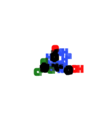 C[C@]1(C(N)=O)CC[C@@H](n2c(Nc3c(Cl)cc(Cl)cc3Cl)nc3cnc(N[C@H]4CCC[C@H](O)C4)nc32)CC1